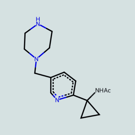 CC(=O)NC1(c2ccc(CN3CCNCC3)cn2)CC1